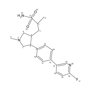 CC(CC1CN(C)CC1c1ccc(-c2ccc(F)nc2)cc1)S(N)(=O)=O